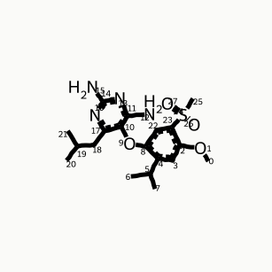 COc1cc(C(C)C)c(Oc2c(N)nc(N)nc2CC(C)C)cc1S(C)(=O)=O